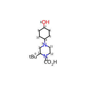 CC(C)(C)C1CN(C2CCC(O)CC2)CCN1C(=O)O